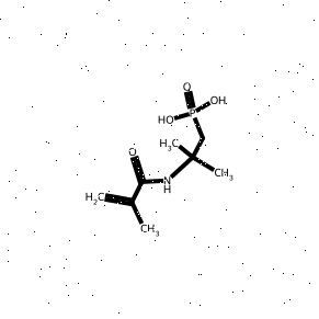 C=C(C)C(=O)NC(C)(C)CP(=O)(O)O